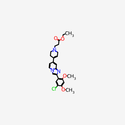 CCOC(=O)CCN1CC=C(c2ccn3cc(-c4cc(Cl)c(OC)cc4OC)nc3c2)CC1